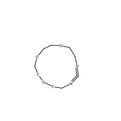 C1=NCCOCCOCCOCCN=1